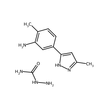 Cc1cc(-c2ccc(C)c(N)c2)[nH]n1.NNC(N)=O